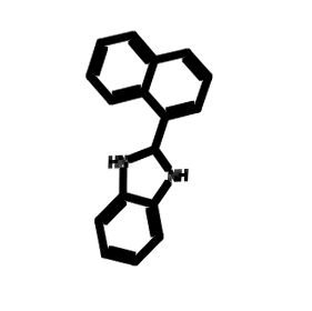 c1ccc2c(c1)NC(c1cccc3ccccc13)N2